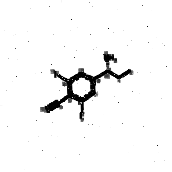 CC[C@@H](N)c1cc(F)c(C#N)c(F)c1